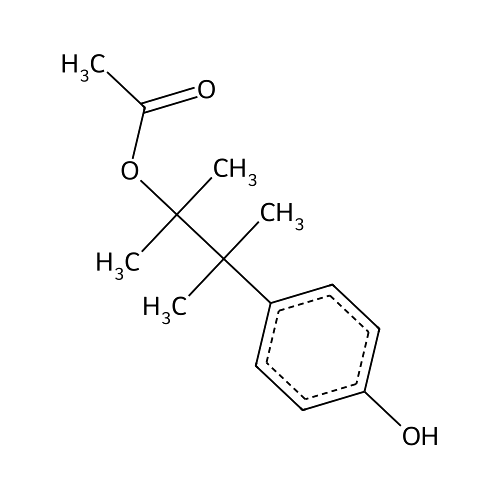 CC(=O)OC(C)(C)C(C)(C)c1ccc(O)cc1